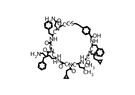 CC(C)CC1CN(C(=O)CC2CC2)CC(=O)N[C@@H](CCCCN)CN(C(=O)CCc2ccccc2)CC(=O)NC(Cc2ccccc2)CN(CC(N)=O)C(=O)CCSCc2ccc(cc2)C(O)NC(Cc2ccccc2)CN(C(=O)CC2CC2)CC(=O)N1